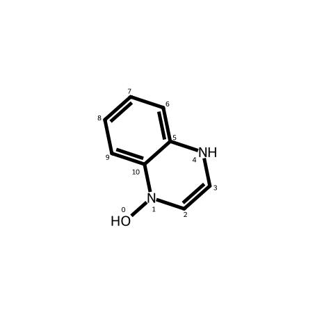 ON1C=CNc2ccccc21